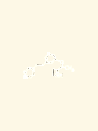 CC(Oc1cncc(C=Cc2ccncc2)c1)[C@@H]1CCN1